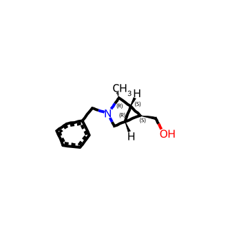 C[C@@H]1[C@@H]2[C@@H](CO)[C@@H]2CN1Cc1ccccc1